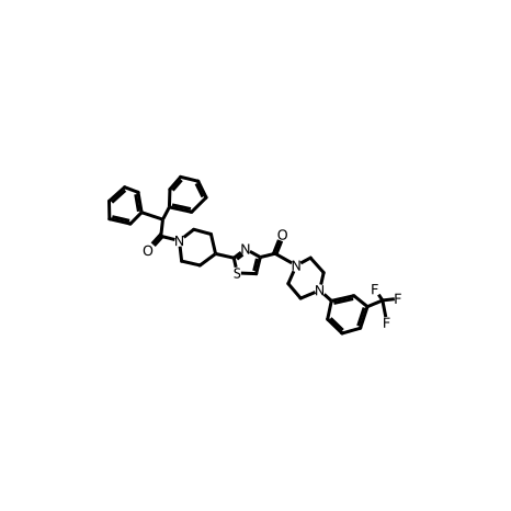 O=C(c1csc(C2CCN(C(=O)C(c3ccccc3)c3ccccc3)CC2)n1)N1CCN(c2cccc(C(F)(F)F)c2)CC1